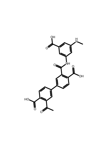 CNc1cc(NC(=O)c2cc(-c3ccc(C(=O)O)c(C(C)=O)c3)ccc2C(=O)O)cc(C(=O)O)c1